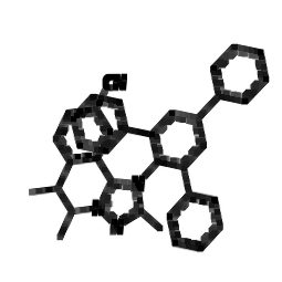 Cc1n[n+]2c(n1-c1c(-c3ccccc3)cc(-c3ccccc3)cc1-c1ccccc1)-c1cc(C#N)ccc1C(C)C2C